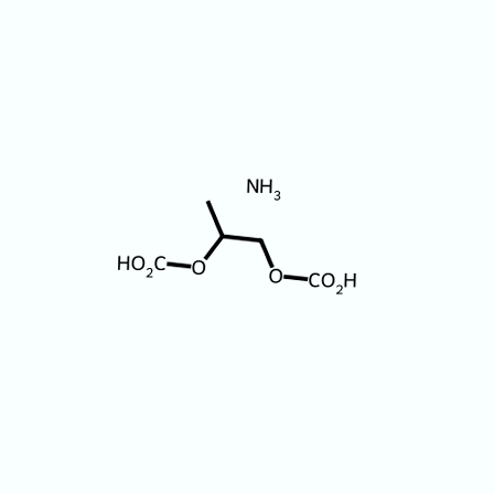 CC(COC(=O)O)OC(=O)O.N